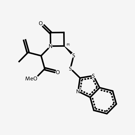 C=C(C)C(C(=O)OC)N1C(=O)C[C@H]1SSc1nc2ccccc2s1